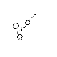 C=C(NCc1ccc(OCC(C)C)cc1)N(Cc1ccc(F)cc1)[C@@H]1CCCNCC1